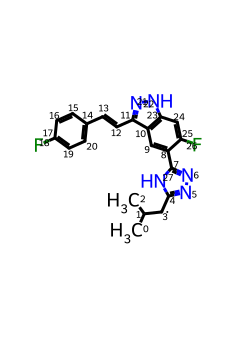 CC(C)[CH]c1nnc(-c2cc3c(/C=C/c4ccc(F)cc4)n[nH]c3cc2F)[nH]1